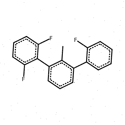 Cc1c(-c2ccccc2F)[c]ccc1-c1c(F)cccc1F